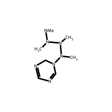 CNN(C)N(C)N(C)N1C=NC=NC1